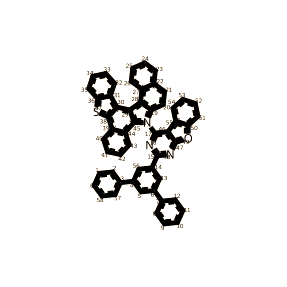 c1ccc(-c2cc(-c3ccccc3)cc(-c3nc(-n4c5ccc6ccccc6c5c5c6c7ccccc7sc6c6ccccc6c54)c4c(n3)oc3ccccc34)c2)cc1